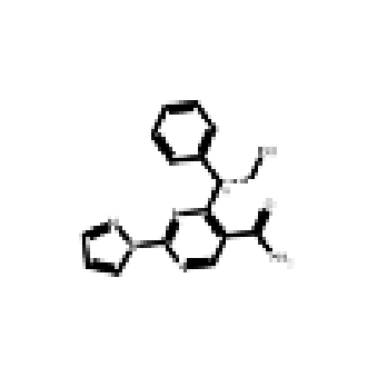 NC(=O)c1cnc(-n2cccn2)nc1[C@@H](CO)c1ccccc1